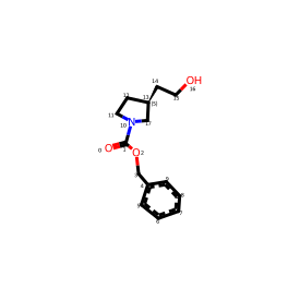 O=C(OCc1ccccc1)N1CC[C@@H](CCO)C1